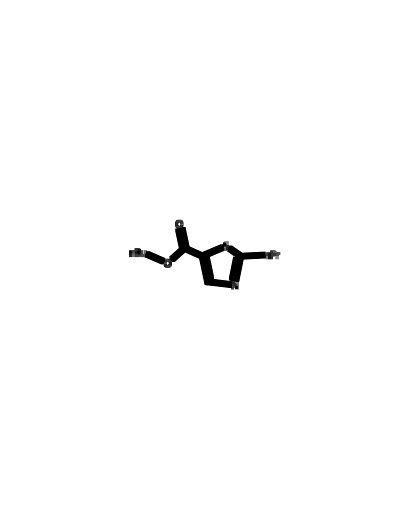 CCCCOC(=O)c1cnc(CCC)s1